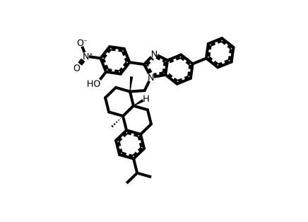 CC(C)c1ccc2c(c1)CC[C@H]1[C@@](C)(Cn3c(-c4ccc([N+](=O)[O-])c(O)c4)nc4cc(-c5ccccc5)ccc43)CCC[C@]21C